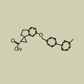 Cc1cccc(-c2ccc(COc3ccc4c(c3)[C@]3(CC4)C[C@H]3C(=O)O)cc2)c1